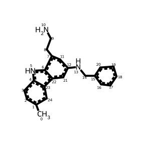 Cc1ccc2[nH]c3c(CCN)cc(NCc4ccccc4)cc3c2c1